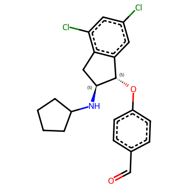 O=Cc1ccc(O[C@H]2c3cc(Cl)cc(Cl)c3C[C@@H]2NC2CCCC2)cc1